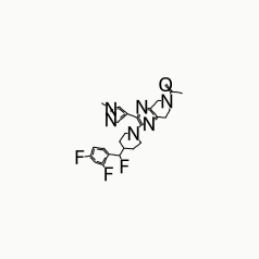 CC(=O)N1CCc2nc(N3CCC(C(F)c4ccc(F)cc4F)CC3)c(-c3cnn(C)c3)nc2C1